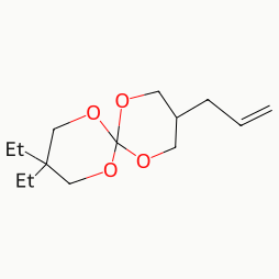 C=CCC1COC2(OC1)OCC(CC)(CC)CO2